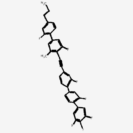 CCCc1ccc(-c2cc(C)c(C#Cc3ccc(-c4ccc(-c5cc(F)c(F)c(F)c5)c(F)c4)c(F)c3)c(F)c2)c(F)c1